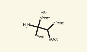 Br.CCCCCCCCC(CCCCC)C(N)(CCCCC)CCCCC